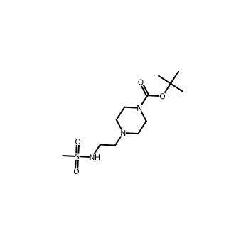 CC(C)(C)OC(=O)N1CCN(CCNS(C)(=O)=O)CC1